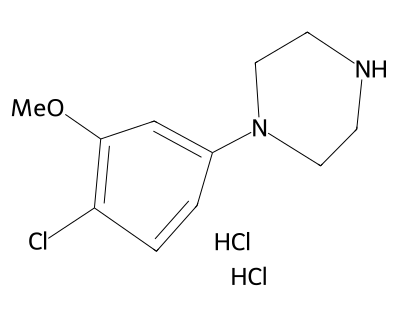 COc1cc(N2CCNCC2)ccc1Cl.Cl.Cl